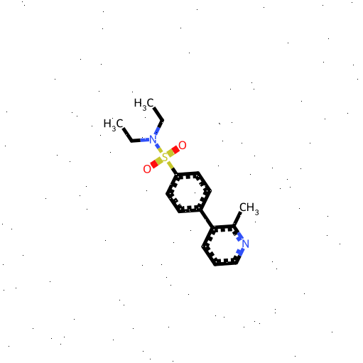 CCN(CC)S(=O)(=O)c1ccc(-c2cccnc2C)cc1